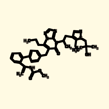 C=C(NC(=O)OC)c1ccccc1-c1ccc(Cc2c(CCC)n3ncnc3n(C(C)Cc3cnn(CC(C)(C)O)c3CC)c2=O)cc1